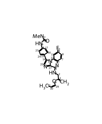 C=C(CNc1nc2ccc(F)cc2n2c(-c3ccc(NC(=O)NC)cc3)cnc12)O/C=C\C